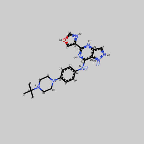 CC(C)(C)N1CCN(c2ccc(Nc3nc(-c4cocn4)nc4cn[nH]c34)cc2)CC1